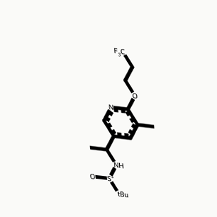 Cc1cc(C(C)N[S+]([O-])C(C)(C)C)cnc1OCCC(F)(F)F